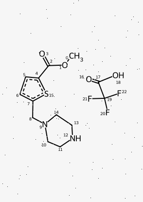 COC(=O)c1ccc(CN2CCNCC2)s1.O=C(O)C(F)(F)F